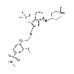 CNS(=O)(=O)c1ccc(NCC#Cc2cc3c(NC4CCS(=O)(=O)CC4)cccc3n2CC(F)(F)F)c(OC)c1